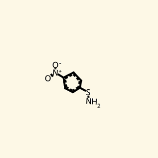 NSc1ccc([N+](=O)[O-])cc1